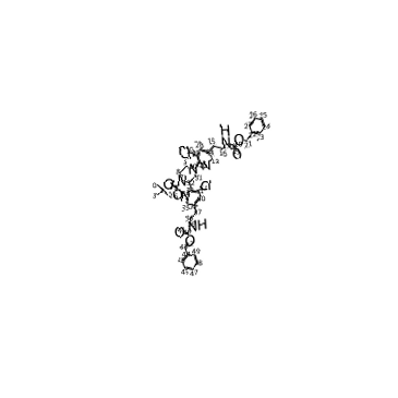 CC(C)(C)OC(=O)N1CCN(c2ncc(CCNC(=O)OCc3ccccc3)cc2Cl)CC1c1ncc(CCNC(=O)OCc2ccccc2)cc1Cl